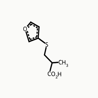 CC(CSc1ccoc1)C(=O)O